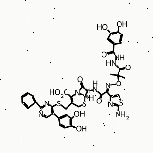 CC(C)(ON=C(C(=O)N[C@@H]1C(=O)N2C(C(=O)O)=C(CSc3nc(-c4ccccc4)ncc3-c3ccc(O)c(O)c3)CS[C@H]12)c1csc(N)n1)C(=O)NNC(=O)c1ccc(O)c(O)c1